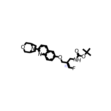 CC(C)(C)OC(=O)NC/C(=C\F)COc1ccc2nc(N3C4CCC3COC4)ccc2c1